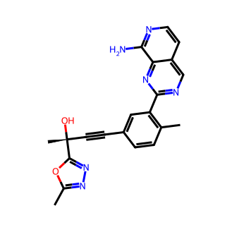 Cc1nnc([C@](C)(O)C#Cc2ccc(C)c(-c3ncc4ccnc(N)c4n3)c2)o1